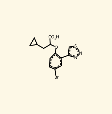 O=C(O)C(CC1CC1)Oc1ccc(Br)cc1-c1csnn1